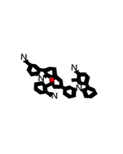 Cc1c(C#N)ccc2c3ccccc3n(-c3cccc(-c4cccc(-c5c(C#N)cccc5-n5c6ccccc6c6cc(C#N)ccc65)c4)c3)c12